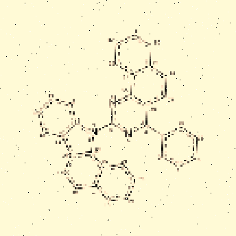 c1ccc(-c2nc(-n3c4ccccc4c4ccc5ccccc5c43)nc3c2ccc2ccccc23)cc1